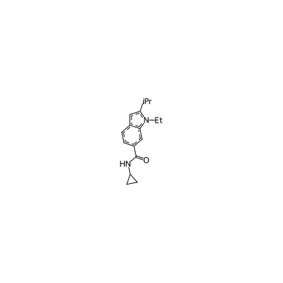 CCn1c(C(C)C)cc2ccc(C(=O)NC3CC3)cc21